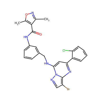 Cc1noc(C)c1C(=O)Nc1cccc(CNc2cc(-c3ccccc3Cl)nc3c(Br)cnn23)c1